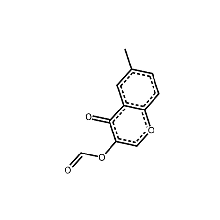 Cc1ccc2occ(OC=O)c(=O)c2c1